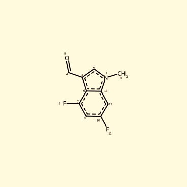 Cn1cc(C=O)c2c(F)cc(F)cc21